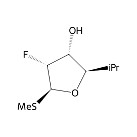 CS[C@@H]1O[C@H](C(C)C)[C@@H](O)[C@H]1F